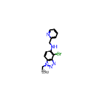 CC(C)(C)Cn1nnc2c(Br)c(NCc3ccccn3)ccc21